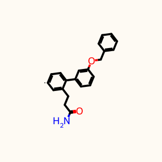 NC(=O)CCc1c[c]ccc1-c1cccc(OCc2ccccc2)c1